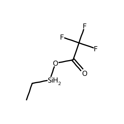 CC[SiH2]OC(=O)C(F)(F)F